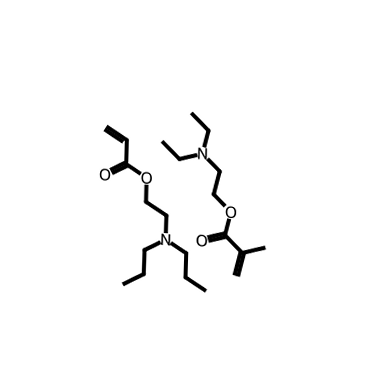 C=C(C)C(=O)OCCN(CC)CC.C=CC(=O)OCCN(CCC)CCC